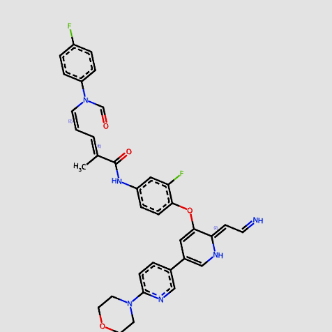 C/C(=C\C=C/N(C=O)c1ccc(F)cc1)C(=O)Nc1ccc(OC2=CC(c3ccc(N4CCOCC4)nc3)=CN/C2=C\C=N)c(F)c1